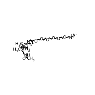 CC(=O)NCCC[Si](C)(C)O[Si](C)(C)CSc1ncc(COCCOCCOCCOCCOCCOCCN=[N+]=[N-])cn1